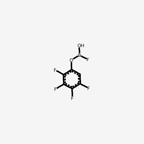 OB(F)Oc1cc(F)c(F)c(F)c1F